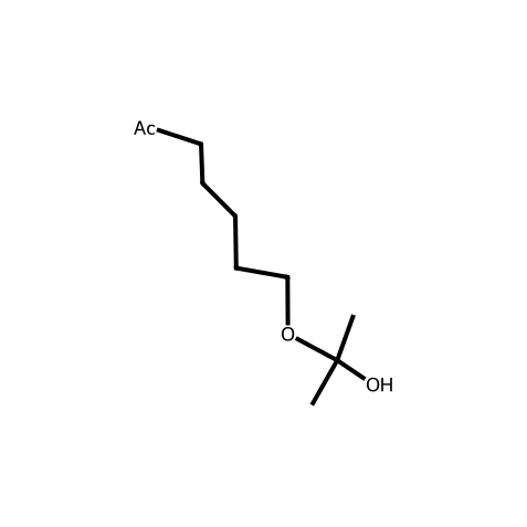 CC(=O)CCCCCOC(C)(C)O